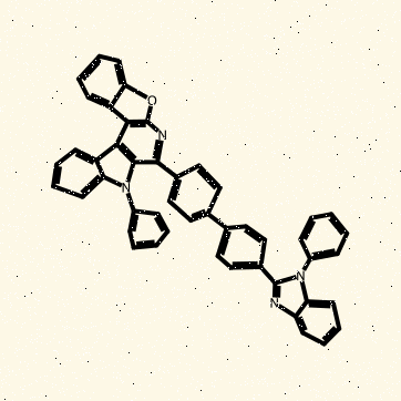 c1ccc(-n2c(-c3ccc(-c4ccc(-c5nc6oc7ccccc7c6c6c7ccccc7n(-c7ccccc7)c56)cc4)cc3)nc3ccccc32)cc1